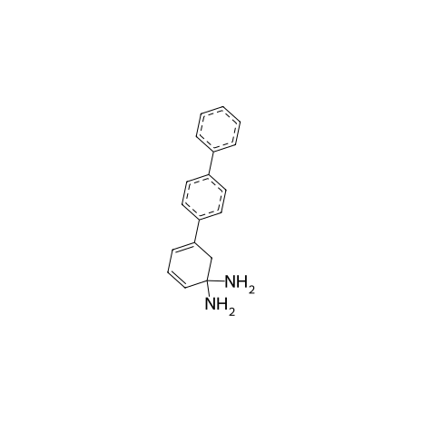 NC1(N)C=CC=C(c2ccc(-c3ccccc3)cc2)C1